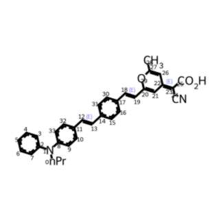 CCCN(c1ccccc1)c1ccc(/C=C/c2ccc(/C=C/C3=CC(=C(\C#N)C(=O)O)/C=C(C)O3)cc2)cc1